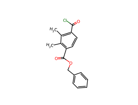 Cc1c(C(=O)Cl)ccc(C(=O)OCc2ccccc2)c1C